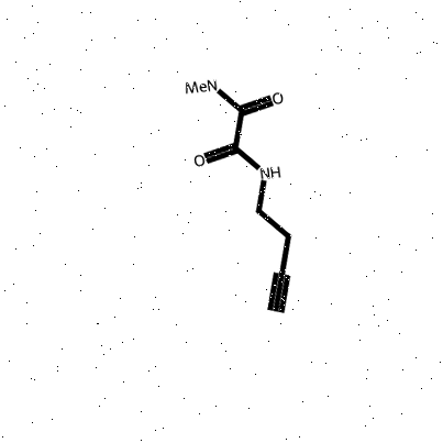 C#CCCNC(=O)C(=O)NC